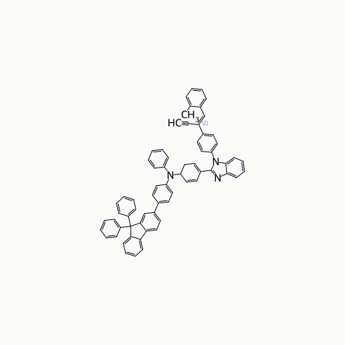 C#C/C(=C\c1ccccc1C)c1ccc(-n2c(C3=CCC(N(c4ccccc4)c4ccc(-c5ccc6c(c5)C(c5ccccc5)(c5ccccc5)c5ccccc5-6)cc4)C=C3)nc3ccccc32)cc1